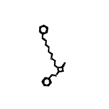 O=C1CC(SCc2ccccc2)N1CCOCCCCCCc1ccccc1